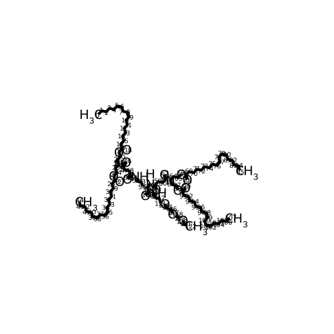 CCCCC/C=C\C/C=C\CCCCCCCC(=O)OCCN(CCOC(=O)CCCCCCC/C=C\C/C=C\CCCCC)C(=O)CCC(=O)NCCC[C@H](NC(=O)CCC(=O)N(CCOC(=O)CCCCCCC/C=C\C/C=C\CCCCC)CCOC(=O)CCCCCCC/C=C\C/C=C\CCCCC)C(=O)NCCCOCCOCCOCC